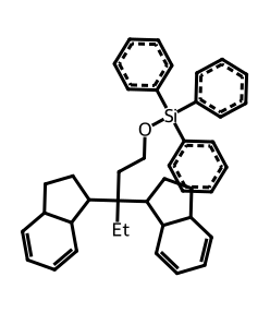 CCC(CCO[Si](c1ccccc1)(c1ccccc1)c1ccccc1)(C1CCC2C=CC=CC21)C1CCC2C=CC=CC21